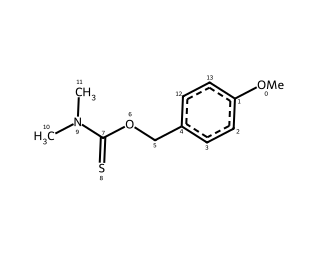 COc1ccc(COC(=S)N(C)C)cc1